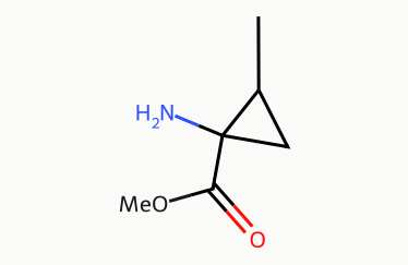 COC(=O)C1(N)CC1C